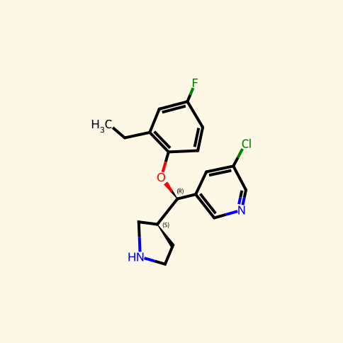 CCc1cc(F)ccc1O[C@@H](c1cncc(Cl)c1)[C@H]1CCNC1